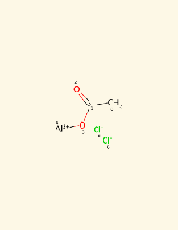 CC(=O)[O][Al+2].[Cl-].[Cl-]